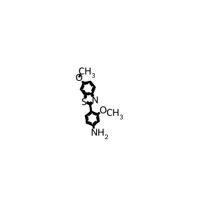 COc1ccc2nc(-c3ccc(N)cc3OC)sc2c1